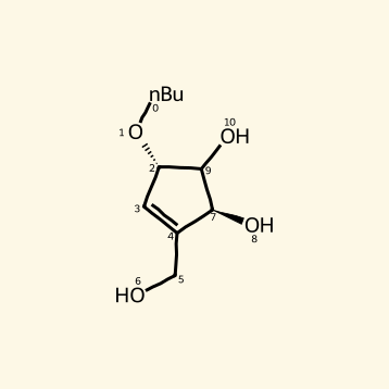 CCCCO[C@H]1C=C(CO)[C@H](O)C1O